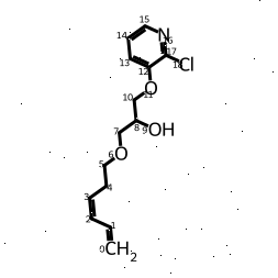 C=C/C=C\CCOCC(O)COc1cccnc1Cl